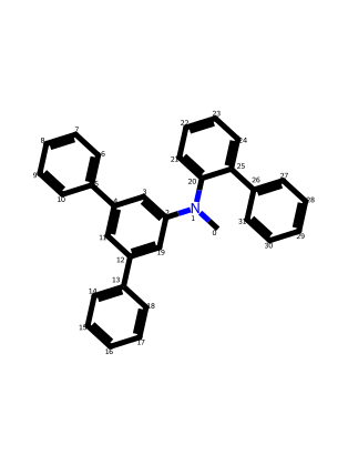 CN(c1cc(-c2ccccc2)cc(-c2ccccc2)c1)c1ccccc1-c1ccccc1